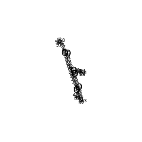 CCC(C)C(CCCCCOC(=O)CCCCCCCCCC(CCCCCCCCCC(=O)OCCCC(CCC(C)C)C(C)C)OC(=O)CCCN(C)C)C(C)C